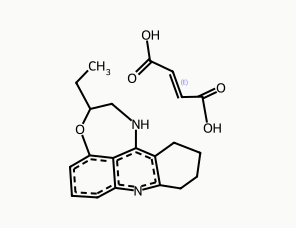 CCC1CNc2c3c(nc4cccc(c24)O1)CCCC3.O=C(O)/C=C/C(=O)O